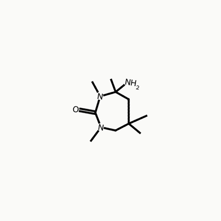 CN1CC(C)(C)CC(C)(N)N(C)C1=O